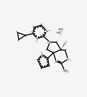 Cl.Cl.NC1=NC2(c3cccs3)CN(c3nccc(C4CC4)n3)C[C@H]2CS1